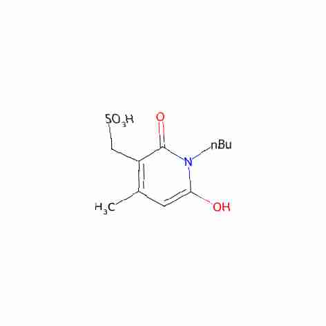 CCCCn1c(O)cc(C)c(CS(=O)(=O)O)c1=O